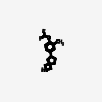 Cc1cc(C2CCC3(CNC3)C2)ccc1OC(F)F